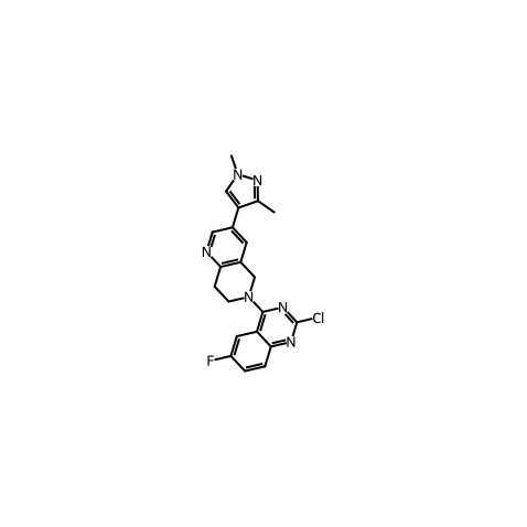 Cc1nn(C)cc1-c1cnc2c(c1)CN(c1nc(Cl)nc3ccc(F)cc13)CC2